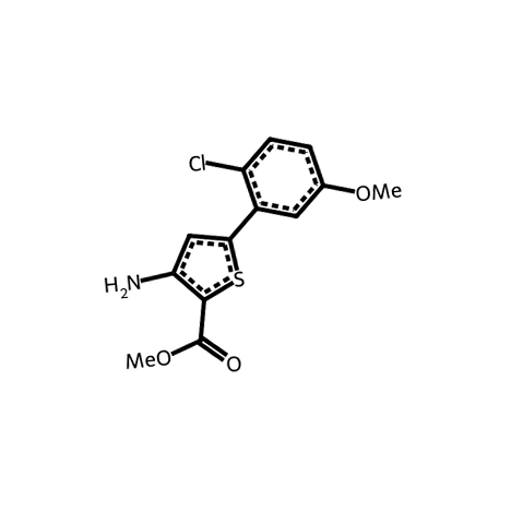 COC(=O)c1sc(-c2cc(OC)ccc2Cl)cc1N